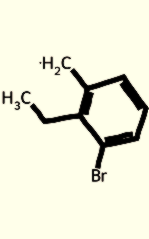 [CH2]c1cccc(Br)c1CC